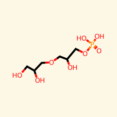 O=P(O)(O)OCC(O)COCC(O)CO